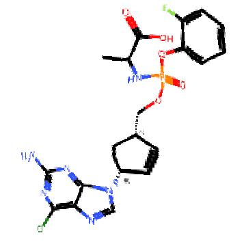 CC(NP(=O)(OC[C@@H]1C=C[C@H](n2cnc3c(Cl)nc(N)nc32)C1)Oc1ccccc1F)C(=O)O